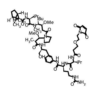 CC[C@H](C)[C@@H]([C@@H](CC(=O)N1CCC[C@H]1[C@H](OC)[C@@H](C)C(=O)N[C@H](CO)Cc1cccc(NC(=O)[C@H](CCCNC(N)=O)NC(=O)[C@@H](NC(=O)CCOCCN2C(=O)C=CC2=O)C(C)C)c1)OC)N(C)C(=O)[C@@H](NC(=O)[C@@H]1[C@H]2CC[C@@H]([C@H]2C)N1C)C(C)C